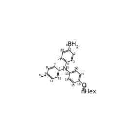 Bc1ccc(N(c2ccc(C)cc2)c2ccc(OCCCCCC)cc2)cc1